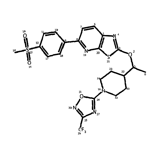 CC(Oc1nc2ccc(-c3ccc(S(C)(=O)=O)cc3)nc2s1)C1CCN(c2nc(C(F)(F)F)no2)CC1